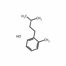 Cc1ccccc1CCN(C)C.Cl